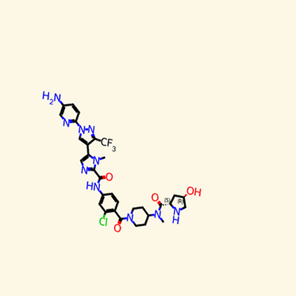 CN(C(=O)[C@@H]1C[C@@H](O)CN1)C1CCN(C(=O)c2ccc(NC(=O)c3ncc(-c4cn(-c5ccc(N)cn5)nc4C(F)(F)F)n3C)cc2Cl)CC1